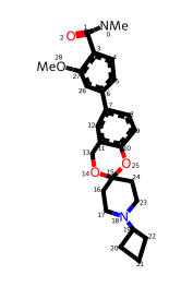 CNC(=O)c1ccc(-c2ccc3c(c2)COC2(CCN(C4CCC4)CC2)O3)cc1OC